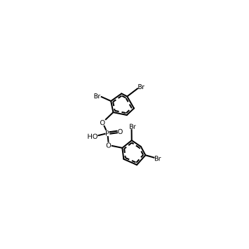 O=P(O)(Oc1ccc(Br)cc1Br)Oc1ccc(Br)cc1Br